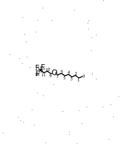 CCCCCCCCOCCCC(F)(F)F